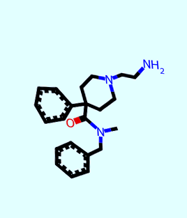 CN(Cc1ccccc1)C(=O)C1(c2ccccc2)CCN(CCN)CC1